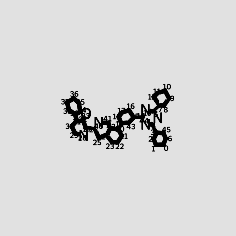 c1ccc(-c2nc(-c3ccccc3)nc(-c3cccc(-c4cccc5cc(-c6nccc7c6oc6ccccc67)ncc45)c3)n2)cc1